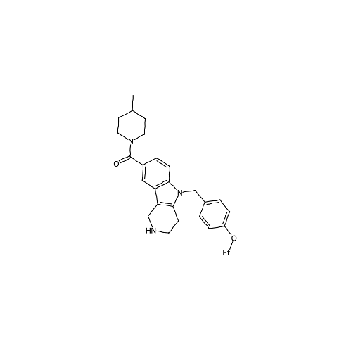 CCOc1ccc(Cn2c3c(c4cc(C(=O)N5CCC(C)CC5)ccc42)CNCC3)cc1